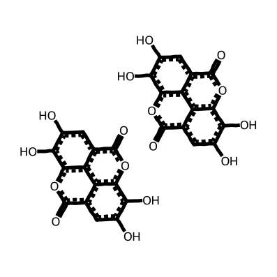 O=c1oc2c(O)c(O)cc3c(=O)oc4c(O)c(O)cc1c4c23.O=c1oc2c(O)c(O)cc3c(=O)oc4c(O)c(O)cc1c4c23